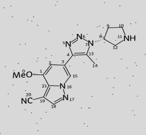 COc1cc(-c2nnn([C@@H]3CCNC3)c2C)cn2ncc(C#N)c12